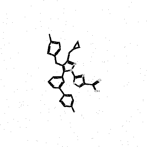 Cc1ccc(Cc2c(CC3CC3)nn(-c3nc(C(=O)O)cs3)c2-c2cccc(-c3ccc(C)cc3)c2)cc1